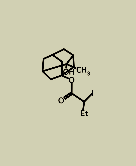 CCC(I)C(=O)OC12CC3CC(C1)C(C)(O)C(C3)C2